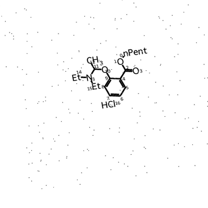 CCCCCOC(=O)c1ccccc1OC(C)N(CC)CC.Cl